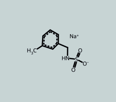 Cc1cccc(CNS(=O)(=O)[O-])c1.[Na+]